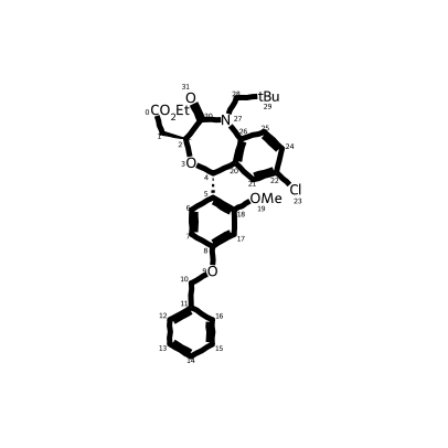 CCOC(=O)C[C@@H]1O[C@@H](c2ccc(OCc3ccccc3)cc2OC)c2cc(Cl)ccc2N(CC(C)(C)C)C1=O